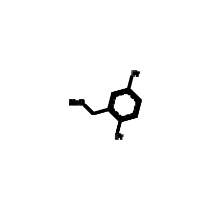 COCc1cc(C(C)C)ccc1C(C)C